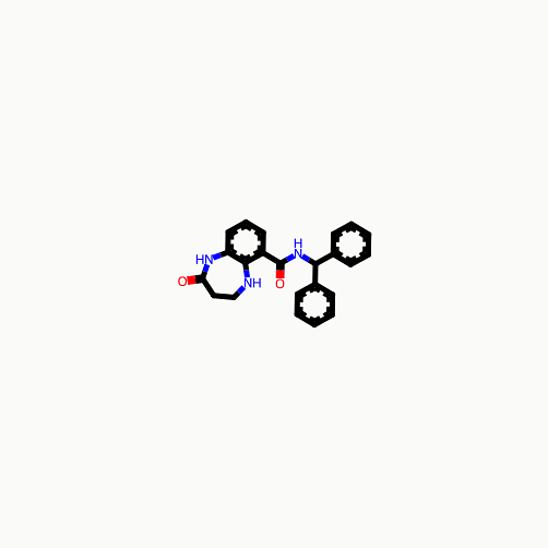 O=C1CCNc2c(cccc2C(=O)NC(c2ccccc2)c2ccccc2)N1